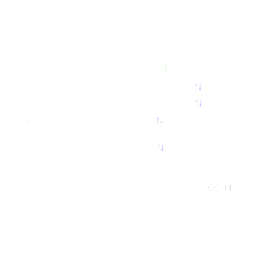 Cc1cc(OCCCc2c3n(c4c(-c5c(C)nn(C)c5C)c(Cl)ccc24)C(C)CN(Cc2ccc(C(=O)O)cc2)C3=O)cc(C)c1Cl